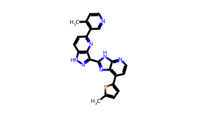 Cc1ccc(-c2ccnc3[nH]c(-c4n[nH]c5ccc(-c6cnccc6C)nc45)nc23)s1